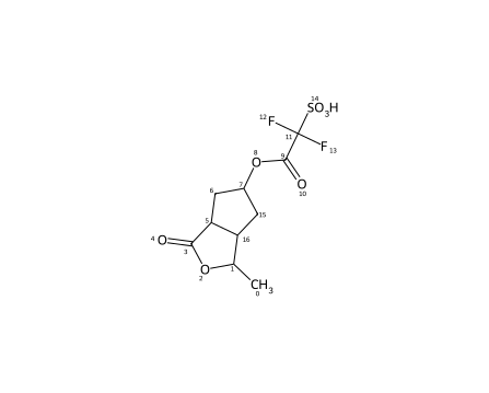 CC1OC(=O)C2CC(OC(=O)C(F)(F)S(=O)(=O)O)CC12